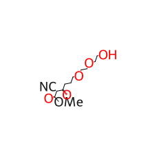 COC(=O)C(C#N)C(=O)CCCOCCOCCO